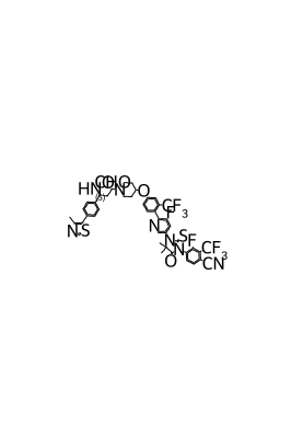 Cc1ncsc1-c1ccc([C@H](CC(=O)N2CCC(Oc3ccc(-c4ncc(N5C(=S)N(c6ccc(C#N)c(C(F)(F)F)c6F)C(=O)C5(C)C)cc4F)c(C(F)(F)F)c3)CC2)NC=O)cc1